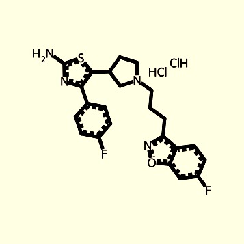 Cl.Cl.Nc1nc(-c2ccc(F)cc2)c(C2CCN(CCCc3noc4cc(F)ccc34)C2)s1